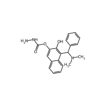 CN(C)C(c1ccccc1)c1c(O)c(OC(=O)NN)cc2ccccc12